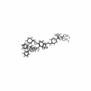 CC(C)(C)OC(=O)N1CCC(CCc2noc3c(CO)c(OC[C@@H]4CCCC[C@H]4CC(C)(C)[Si](O)(c4ccccc4)c4ccccc4)ccc23)CC1